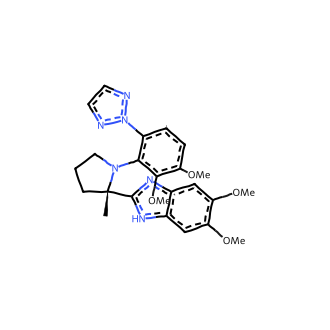 COc1cc2nc([C@]3(C)CCCN3c3c(-n4nccn4)[c]cc(OC)c3OC)[nH]c2cc1OC